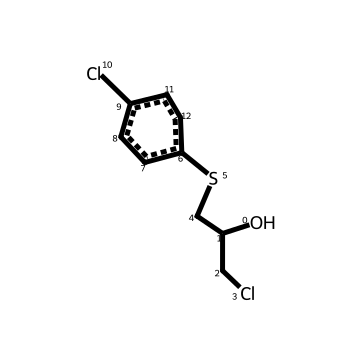 OC(CCl)CSc1ccc(Cl)cc1